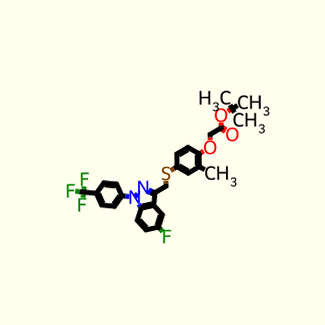 Cc1cc(SCc2nn(-c3ccc(C(F)(F)F)cc3)c3ccc(F)cc23)ccc1OCC(=O)OC(C)(C)C